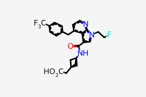 O=C(O)CC12CC(NC(=O)c3cn(CCF)c4nccc(Cc5ccc(C(F)(F)F)cc5)c34)(C1)C2